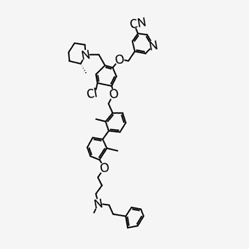 Cc1c(COc2cc(OCc3cncc(C#N)c3)c(CN3CCCC[C@H]3C)cc2Cl)cccc1-c1cccc(OCCCN(C)CCc2ccccc2)c1C